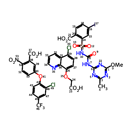 COc1nc(C)nc(NC(=O)NS(=O)(=O)c2cc(I)ccc2C(=O)O)n1.O=C(O)COc1ccc(Cl)c2cccnc12.O=C(O)c1cc(Oc2ccc(C(F)(F)F)cc2Cl)ccc1[N+](=O)[O-]